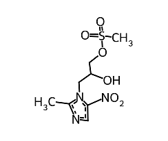 Cc1ncc([N+](=O)[O-])n1CC(O)COS(C)(=O)=O